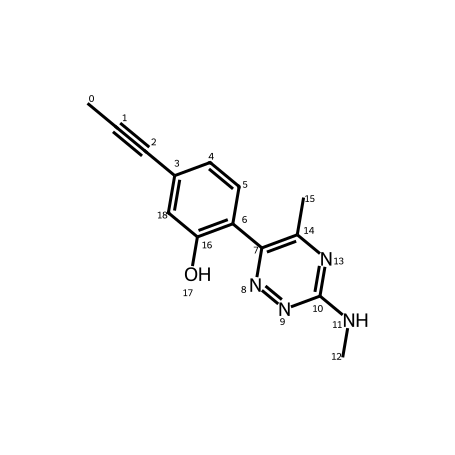 CC#Cc1ccc(-c2nnc(NC)nc2C)c(O)c1